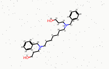 OCCCN(CCCCCCCN(CCCO)Cc1ccccc1)Cc1ccccc1